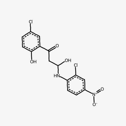 O=C(CC(O)Nc1ccc([N+](=O)[O-])cc1Cl)c1cc(Cl)ccc1O